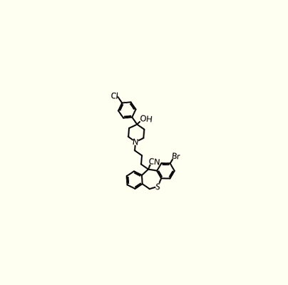 N#CC1(CCCN2CCC(O)(c3ccc(Cl)cc3)CC2)c2ccccc2CSc2ccc(Br)cc21